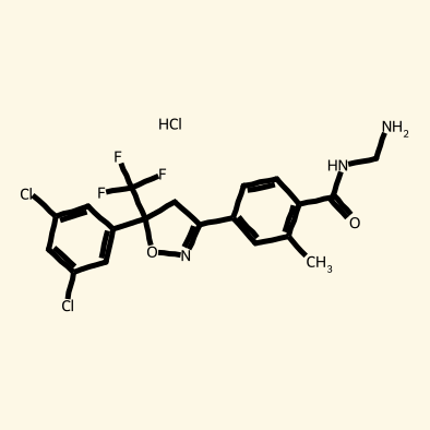 Cc1cc(C2=NOC(c3cc(Cl)cc(Cl)c3)(C(F)(F)F)C2)ccc1C(=O)NCN.Cl